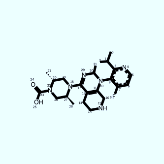 CC(C)c1nccc(F)c1N1C2=C(CCNC2)C(N2C[C@@H](C)N(C(=O)O)C[C@@H]2C)=NC1C